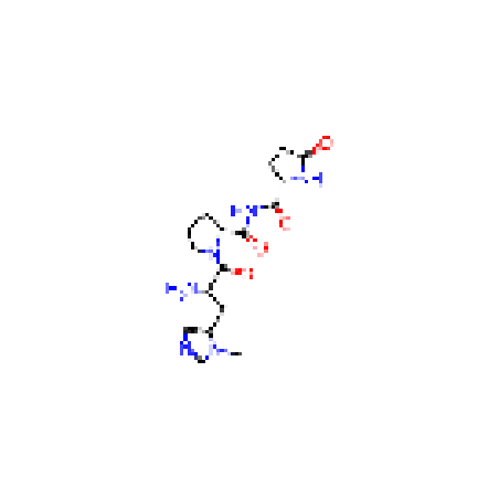 Cn1cncc1C[C@H](N)C(=O)N1CCC[C@H]1C(=O)NC(=O)[C@@H]1CCC(=O)N1